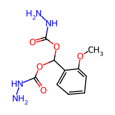 COc1ccccc1C(OC(=O)NN)OC(=O)NN